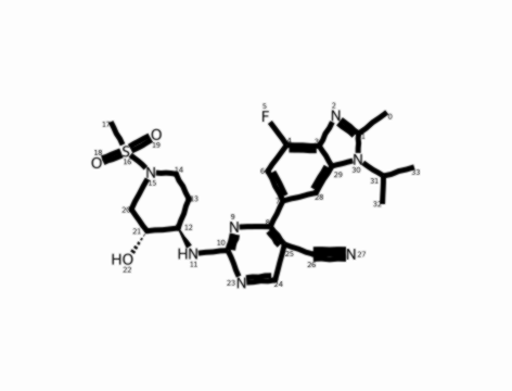 Cc1nc2c(F)cc(-c3nc(N[C@@H]4CCN(S(C)(=O)=O)C[C@H]4O)ncc3C#N)cc2n1C(C)C